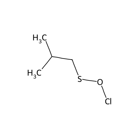 CC(C)CSOCl